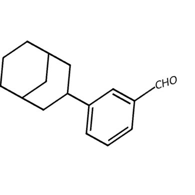 O=Cc1cccc(C2CC3CCCC(C3)C2)c1